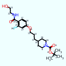 CC(C)(C)OC(=O)N1CCC(CCCOc2ccc(C(=O)NCCO)c(F)c2)CC1